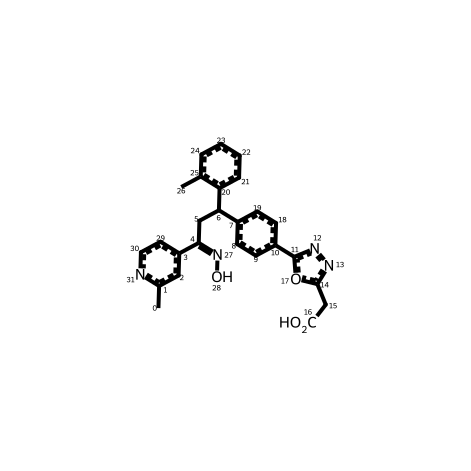 Cc1cc(C(CC(c2ccc(-c3nnc(CC(=O)O)o3)cc2)c2ccccc2C)=NO)ccn1